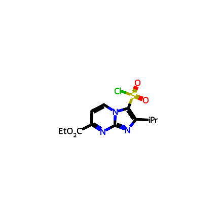 CCOC(=O)c1ccn2c(S(=O)(=O)Cl)c(C(C)C)nc2n1